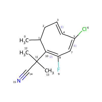 CC1C/C=C/C(Cl)=C\C(F)=C/1C(C)(C)C#N